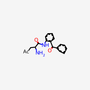 CC(=O)CC(N)C(=O)Nc1ccccc1C(=O)c1ccccc1